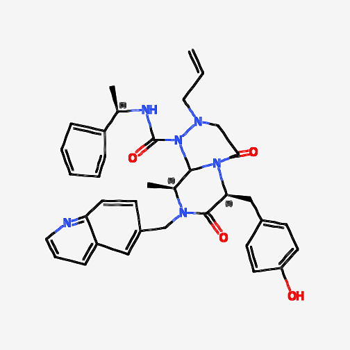 C=CCN1CC(=O)N2C([C@H](C)N(Cc3ccc4ncccc4c3)C(=O)[C@@H]2Cc2ccc(O)cc2)N1C(=O)N[C@H](C)c1ccccc1